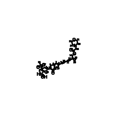 CC(CCN1Cc2cc(C#CC#CC3(COC(=O)CN4CCOCC4)CC3)cn2C1=O)(C(=O)NO)S(C)(=O)=O